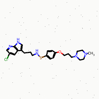 CN1CCN(CCCOc2ccc(SNCCCc3c[nH]c4ncc(Cl)cc34)cc2)CC1